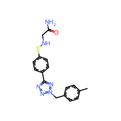 Cc1ccc(Cn2nnc(-c3ccc(SNCC(N)=O)cc3)n2)cc1